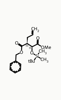 C=CC[C@H](C(=O)OCc1ccccc1)[C@H](O[Si](C)(C)C(C)(C)C)C(=O)OC